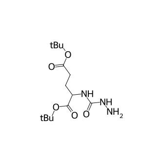 CC(C)(C)OC(=O)CCC(NC(=O)NN)C(=O)OC(C)(C)C